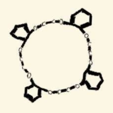 c1ccc2c(c1)OCCOc1ccccc1OCCOc1ccccc1OCCOc1ccccc1OCCO2